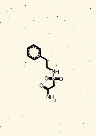 NC(=O)CS(=O)(=O)NC[CH]c1ccccc1